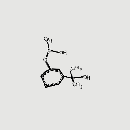 CC(C)(O)c1cccc(OB(O)O)c1